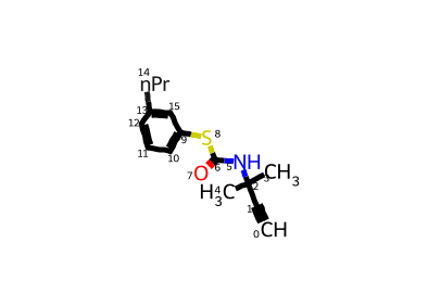 C#CC(C)(C)NC(=O)Sc1cccc(CCC)c1